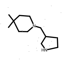 CC1(C)CCN(CC2CCNC2)CC1